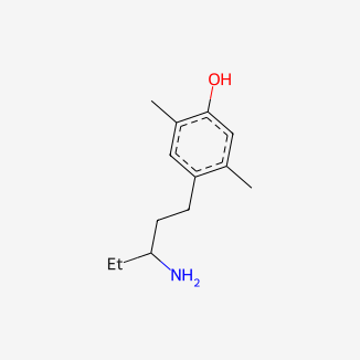 CCC(N)CCc1cc(C)c(O)cc1C